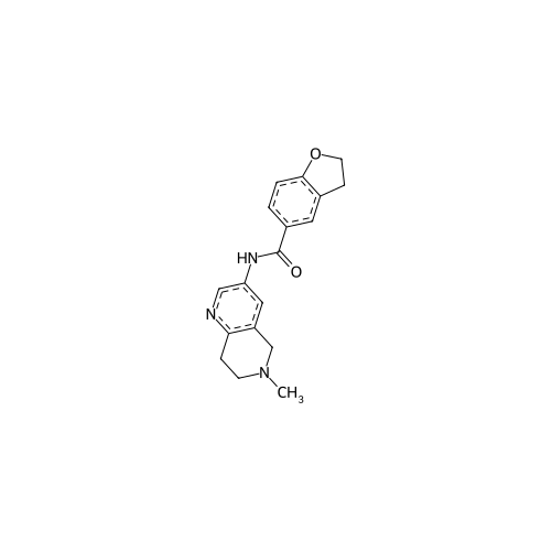 CN1CCc2ncc(NC(=O)c3ccc4c(c3)CCO4)cc2C1